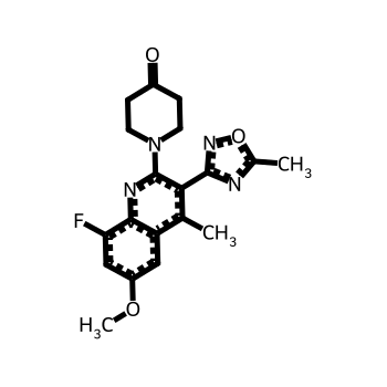 COc1cc(F)c2nc(N3CCC(=O)CC3)c(-c3noc(C)n3)c(C)c2c1